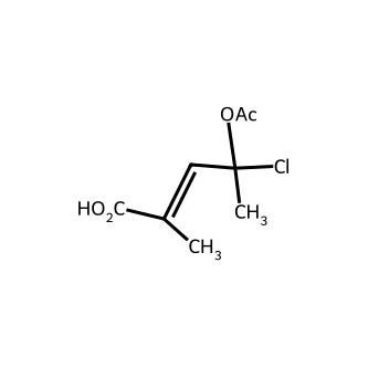 CC(=O)OC(C)(Cl)C=C(C)C(=O)O